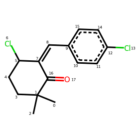 CC1(C)CCC(Cl)C(=Cc2ccc(Cl)cc2)C1=O